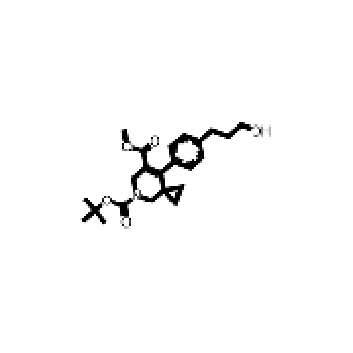 COC(=O)C1=C(c2ccc(CCCO)cc2)C2(CC2)CN(C(=O)OC(C)(C)C)C1